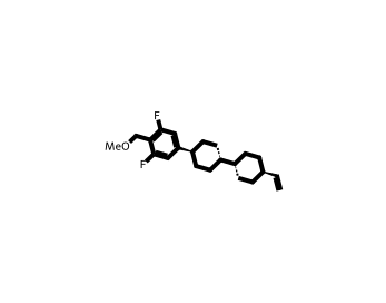 C=C[C@H]1CC[C@H]([C@H]2CC[C@H](c3cc(F)c(COC)c(F)c3)CC2)CC1